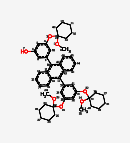 COC1(Oc2cc(O)cc(-c3c4ccccc4c(-c4cc(OC5(OC)CCCCC5)cc(OC5(OC)CCCCC5)c4)c4ccccc34)c2)CCCCC1